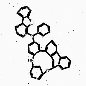 c1ccc(N(c2ccc3[nH]c4cccc(c4)oc4cc5c(cccc5c5ccccc45)c3c2)c2cccc3c2oc2ccccc23)cc1